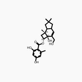 Cc1cc(O)cc(O)c1C(=O)O[C@@H]1C[C@]2(C)C3CC(C)(C)CC3C=C(CO)[C@]12O